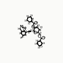 Cc1cc(C#C[C@H]2O[C@H](COC(=O)c3ccccc3)[C@@H](C)[C@H](C)[C@@H]2OC(=O)c2ccccc2)c2c(c1)CN=N2